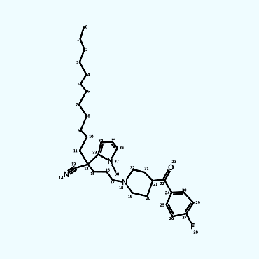 CCCCCCCCCCCCC(C#N)(CCCN1CCC(C(=O)c2ccc(F)cc2)CC1)c1cccn1C